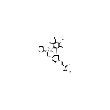 O=C(/C=C/c1ccc(CN(C2CCCC2)S(=O)(=O)c2c(F)c(F)c(F)c(F)c2F)cc1)NO